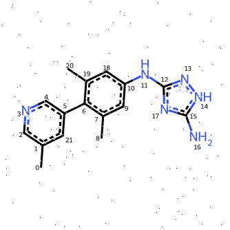 Cc1cncc(-c2c(C)cc(Nc3n[nH]c(N)n3)cc2C)c1